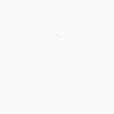 O=C(O)C(c1ccc(-c2ccccc2)cc1)C1CC2C=CC1C2